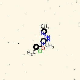 Cc1ccc(-n2nnc3c2CCN(C(=O)c2cccc(C)c2Cl)C3C)nc1